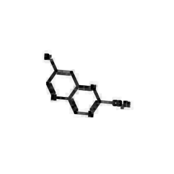 CCOC(=O)c1ncc2ncc(Br)cc2n1